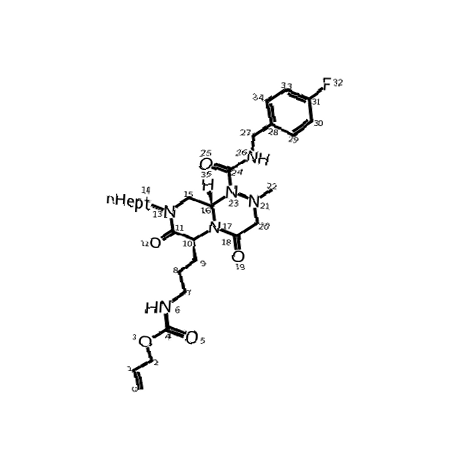 C=CCOC(=O)NCCC[C@H]1C(=O)N(CCCCCCC)C[C@H]2N1C(=O)CN(C)N2C(=O)NCc1ccc(F)cc1